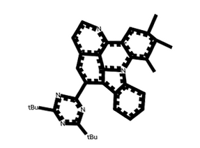 Cc1cc2c3nccc4cc(-c5nc(C(C)(C)C)nc(C(C)(C)C)n5)c5c6ccccc6n(c2c(C)c1C)c5c43